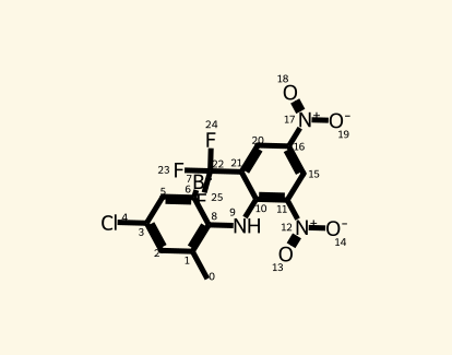 Cc1cc(Cl)cc(Br)c1Nc1c([N+](=O)[O-])cc([N+](=O)[O-])cc1C(F)(F)F